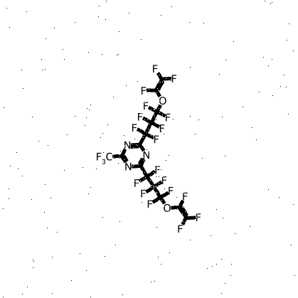 FC(F)=C(F)OC(F)(F)C(F)(F)C(F)(F)c1nc(C(F)(F)F)nc(C(F)(F)C(F)(F)C(F)(F)OC(F)=C(F)F)n1